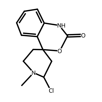 CN1CCC2(CC1Cl)OC(=O)Nc1ccccc12